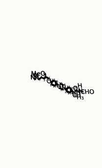 COC[C@H](CCCn1cncn1)COc1ccc(N2CCN(c3ccc(N(C)C(=O)NNC=O)cc3)CC2)cc1